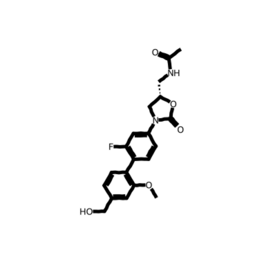 COc1cc(CO)ccc1-c1ccc(N2C[C@H](CNC(C)=O)OC2=O)cc1F